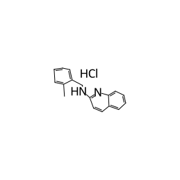 Cc1ccccc1CNc1ccc2ccccc2n1.Cl